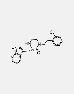 O=C1[C@H](Cc2c[nH]c3ccccc23)NCCN1CCc1ccccc1Cl